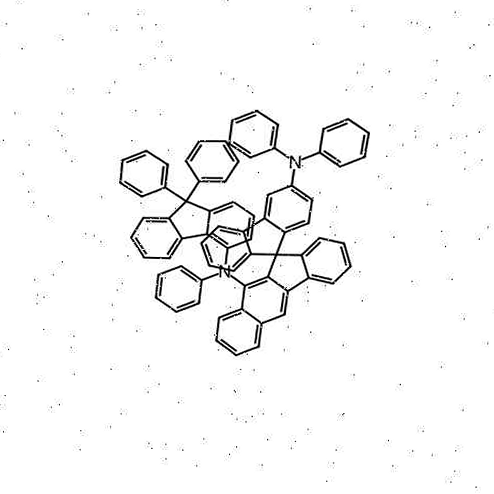 c1ccc(N(c2ccccc2)c2ccc3c(c2)-c2ccccc2C32c3ccccc3-c3cc4ccccc4c(N(c4ccccc4)c4cccc5c4-c4ccccc4C5(c4ccccc4)c4ccccc4)c32)cc1